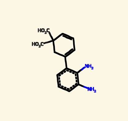 Nc1cccc(C2=CC=CC(C(=O)O)(C(=O)O)C2)c1N